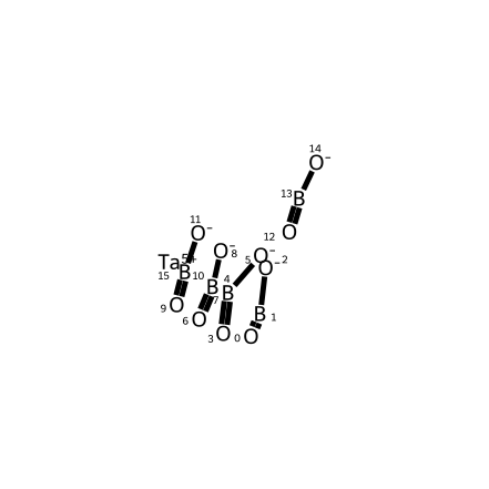 O=B[O-].O=B[O-].O=B[O-].O=B[O-].O=B[O-].[Ta+5]